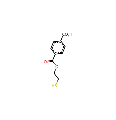 O=C(O)c1ccc(C(=O)OCCS)cc1